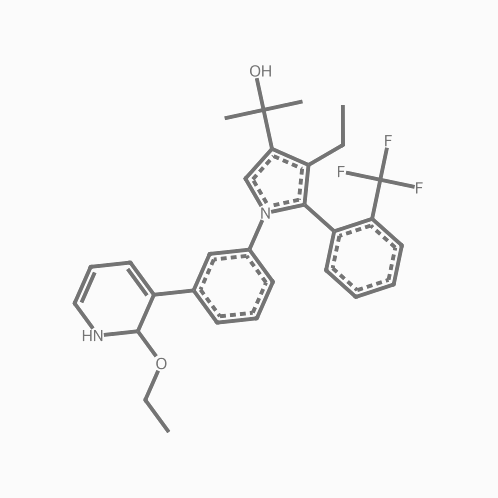 CCOC1NC=CC=C1c1cccc(-n2cc(C(C)(C)O)c(CC)c2-c2ccccc2C(F)(F)F)c1